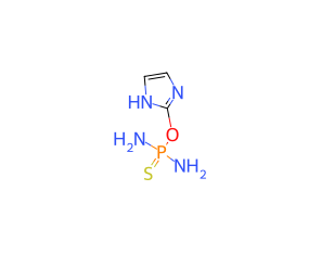 NP(N)(=S)Oc1ncc[nH]1